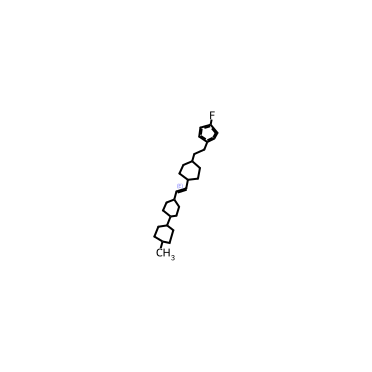 CC1CCC(C2CCC(/C=C/C3CCC(CCc4ccc(F)cc4)CC3)CC2)CC1